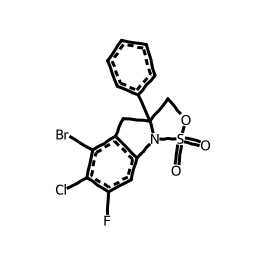 O=S1(=O)OCC2(c3ccccc3)Cc3c(cc(F)c(Cl)c3Br)N21